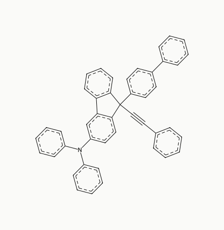 C(#CC1(c2ccc(-c3ccccc3)cc2)c2ccccc2-c2cc(N(c3ccccc3)c3ccccc3)ccc21)c1ccccc1